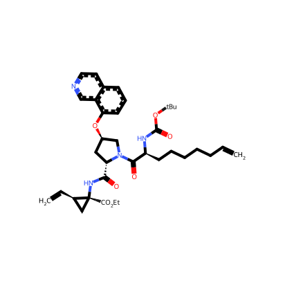 C=CCCCCC[C@H](NC(=O)OC(C)(C)C)C(=O)N1C[C@H](Oc2cccc3ccncc23)C[C@H]1C(=O)N[C@]1(C(=O)OCC)C[C@H]1C=C